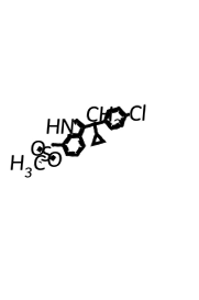 CC(c1ccc(Cl)cc1)(c1c[nH]c2c(CS(C)(=O)=O)cccc12)C1CC1